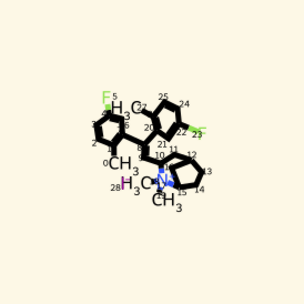 Cc1ccc(F)cc1C(=CC1CC2CCC(C2)[N+]1(C)C)c1cc(F)ccc1C.[I-]